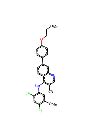 COCCOc1ccc(-c2ccc3c(Nc4cc(OC)c(Cl)cc4Cl)c(C#N)cnc3c2)cc1